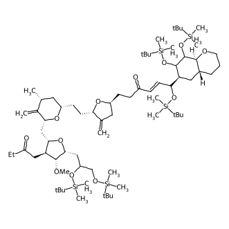 C=C1C[C@H](CCC(=O)/C=C/C(O[Si](C)(C)C(C)(C)C)[C@@H]2C[C@H]3CCCO[C@@H]3C(O[Si](C)(C)C(C)(C)C)C2O[Si](C)(C)C(C)(C)C)O[C@H]1CC[C@H]1C[C@@H](C)C(=C)[C@@H](C[C@@H]2O[C@H](CC(CO[Si](C)(C)C(C)(C)C)O[Si](C)(C)C(C)(C)C)[C@H](OC)[C@H]2CC(=O)CC)O1